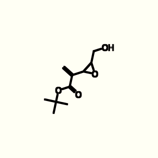 C=C(C(=O)OC(C)(C)C)C1OC1CO